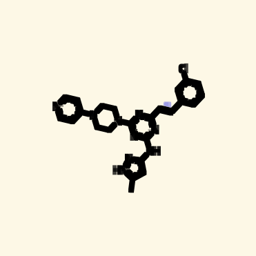 Cc1cc(Nc2nc(/C=C/c3cccc(Cl)c3)nc(N3CCN(c4ccncc4)CC3)n2)n[nH]1